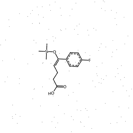 C[Si](C)(C)O/C(=C/CCC(=O)O)c1ccc(F)cc1